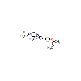 CCCC(C)O[C@H]1CC[C@H](CCCCN2CCN(C(C)CC)CC2(C)C)CC1